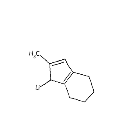 [Li][CH]1C(C)=CC2=C1CCCC2